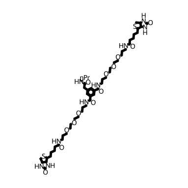 CCCNC(=O)Cc1cc(C(=O)NCCCOCCOCCOCCCNC(=O)CCCCC2SCC3NC(=O)NC32)cc(C(=O)NCCCOCCOCCOCCCNC(=O)CCCCC2SCC3NC(=O)NC32)c1